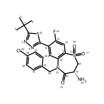 CC(C)(C)c1nnc(-c2cc3c(cc2F)S(=O)(=O)C[C@H](N)C(=O)N3Cc2ccc(Cl)cc2)s1